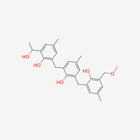 COCc1cc(C)cc(Cc2cc(C)cc(Cc3cc(C)cc(C(C)O)c3O)c2O)c1O